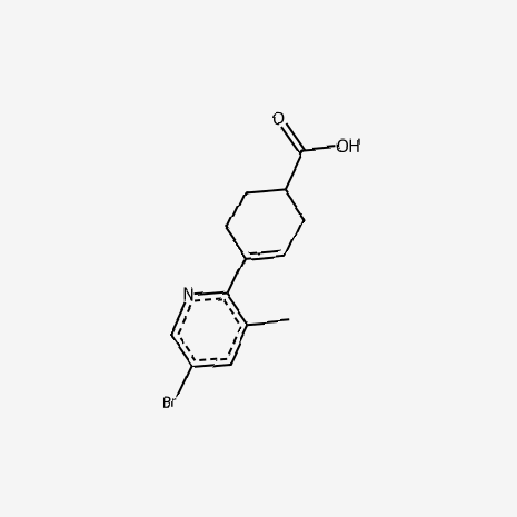 Cc1cc(Br)cnc1C1=CCC(C(=O)O)CC1